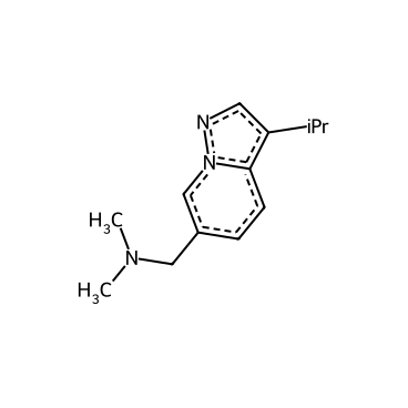 CC(C)c1cnn2cc(CN(C)C)ccc12